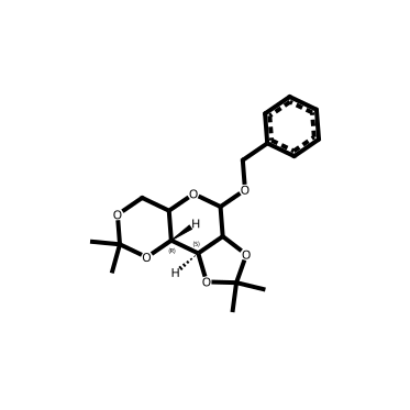 CC1(C)OCC2OC(OCc3ccccc3)C3OC(C)(C)O[C@H]3[C@@H]2O1